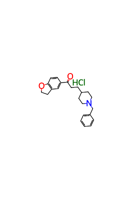 Cl.O=C(CCC1CCN(Cc2ccccc2)CC1)c1ccc2c(c1)CCO2